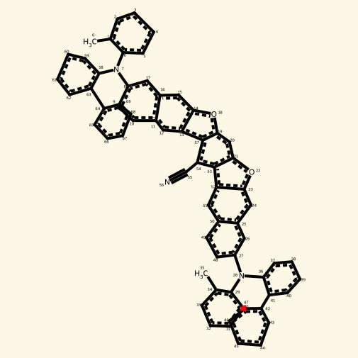 Cc1ccccc1N(c1ccc2cc3c(cc2c1)oc1cc2oc4cc5cc(N(c6ccccc6C)c6ccccc6-c6ccccc6)ccc5cc4c2c(C#N)c13)c1ccccc1-c1ccccc1